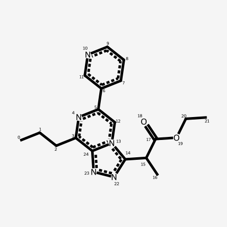 CCCc1nc(-c2cccnc2)cn2c(C(C)C(=O)OCC)nnc12